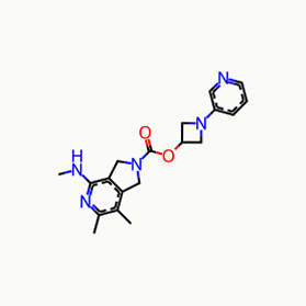 CNc1nc(C)c(C)c2c1CN(C(=O)OC1CN(c3cccnc3)C1)C2